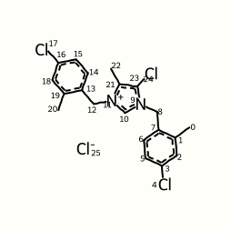 Cc1cc(Cl)ccc1Cn1c[n+](Cc2ccc(Cl)cc2C)c(C)c1Cl.[Cl-]